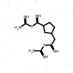 N=C(N)SC(=N)CC1CCC(C(=N)SC(=N)N)C1